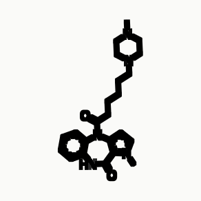 CN1CCN(CCCCCC(=O)N2c3ccccc3NC(=O)c3c2ccn3C)CC1